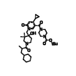 CC(CC1CCCCC1)C(=O)N1CCC(O)(Cn2cc(C(=O)N3CCN(C(=O)OC(C)(C)C)CC3)c(C3CC3)cc2=O)C(C)(C)C1